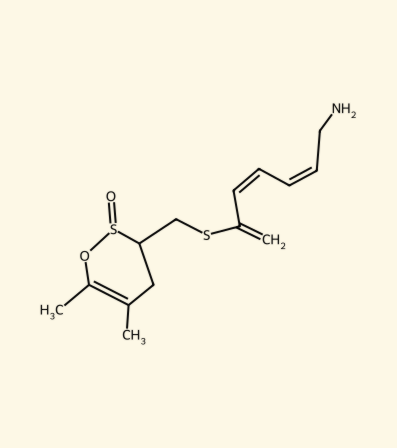 C=C(/C=C\C=C/CN)SCC1CC(C)=C(C)OS1=O